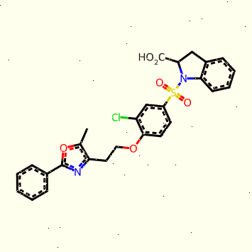 Cc1oc(-c2ccccc2)nc1CCOc1ccc(S(=O)(=O)N2c3ccccc3CC2C(=O)O)cc1Cl